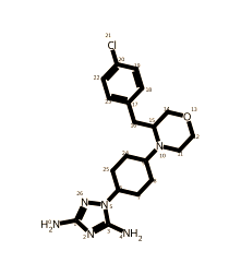 Nc1nc(N)n(C2CCC(N3CCOCC3Cc3ccc(Cl)cc3)CC2)n1